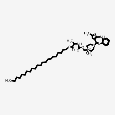 CCCCCCCCCCCCCCCCCCCCCCOC(=O)C(C)NC(=O)OC[N+]1(C)CCN(C2=Nc3ccccc3NC3=C2CC(C)S3)CC1